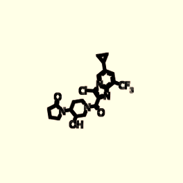 O=C(c1nc2c(C(F)(F)F)cc(C3CC3)cn2c1Cl)N1CCC(N2CCCC2=O)C(O)C1